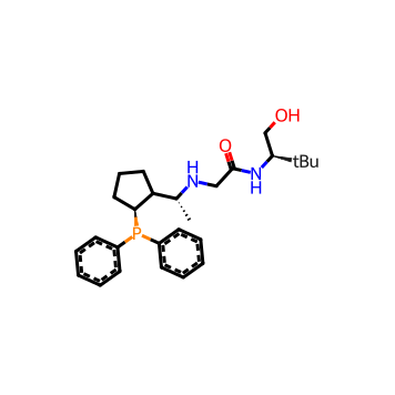 C[C@@H](NCC(=O)N[C@@H](CO)C(C)(C)C)C1CCC[C@@H]1P(c1ccccc1)c1ccccc1